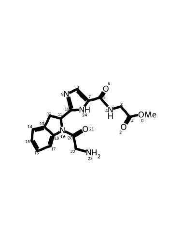 COC(=O)CNC(=O)c1cnc(C2Cc3ccccc3N2C(=O)CN)[nH]1